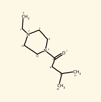 CCN1CCN(C(=O)CC(C)C)CC1